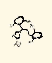 CC(C)c1cccc(C(C)C)c1CCC(c1c(C(C)C)cccc1C(C)C)n1ccnc1.[Pd].[Pd]